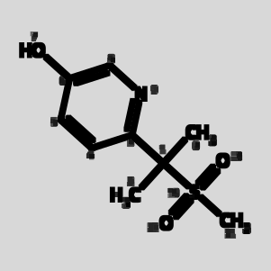 CC(C)(c1ccc(O)cn1)S(C)(=O)=O